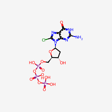 Nc1nc2c(nc(Cl)n2[C@H]2C[C@H](O)[C@@H](COP(=O)(O)OP(=O)(O)OP(=O)(O)O)O2)c(=O)[nH]1